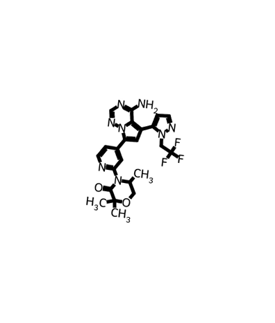 CC1COC(C)(C)C(=O)N1c1cc(-c2cc(-c3ccnn3CC(F)(F)F)c3c(N)ncnn23)ccn1